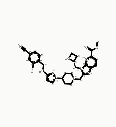 COC(=O)c1ccc2nc(CN3CCC(n4ccc(OCc5ccc(C#N)cc5F)n4)CC3)n(C[C@@H]3CCO3)c2n1